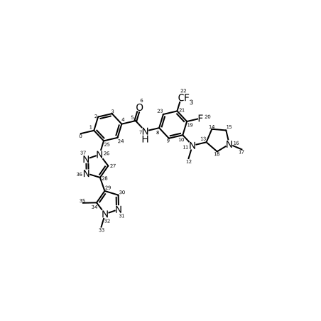 Cc1ccc(C(=O)Nc2cc(N(C)C3CCN(C)C3)c(F)c(C(F)(F)F)c2)cc1-n1cc(-c2cnn(C)c2C)nn1